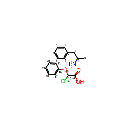 CC(N)Cc1ccccc1.O=C(O)C(Cl)Oc1ccccc1